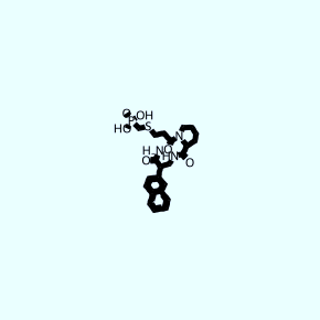 NC(=O)C(CNC(=O)C1CCCCN1C(=O)CCSCP(=O)(O)O)c1ccc2ccccc2c1